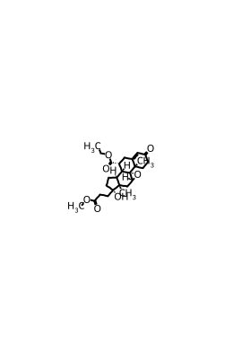 CCOC(=O)[C@@H]1CC2=CC(=O)CC[C@]2(C)[C@@]23O[C@@H]2C[C@@]2(C)[C@@H](CC[C@]2(O)CCC(=O)OC)[C@H]13